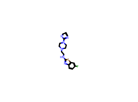 Fc1ccc2nc(NCCN3CCN(c4ncccn4)CC3)sc2c1